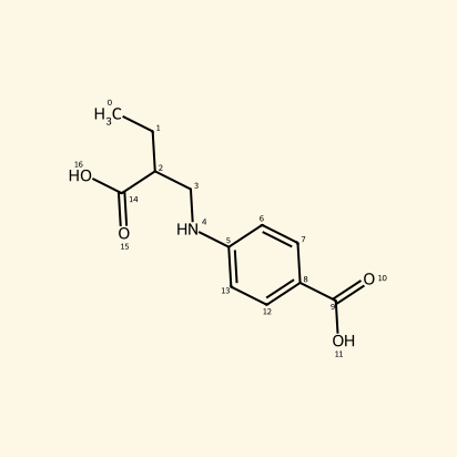 CCC(CNc1ccc(C(=O)O)cc1)C(=O)O